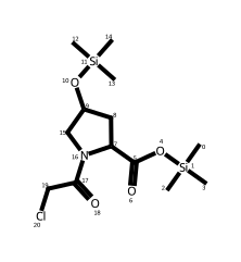 C[Si](C)(C)OC(=O)C1CC(O[Si](C)(C)C)CN1C(=O)CCl